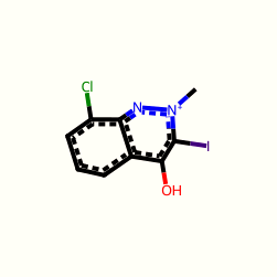 C[n+]1nc2c(Cl)cccc2c(O)c1I